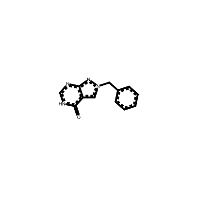 O=c1[nH]cnc2nn(Cc3ccccc3)cc12